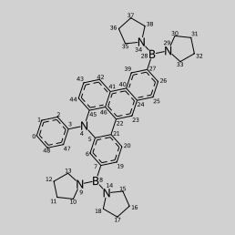 c1ccc(N2c3cc(B(N4CCCC4)N4CCCC4)ccc3-c3cc4ccc(B(N5CCCC5)N5CCCC5)cc4c4cccc2c34)cc1